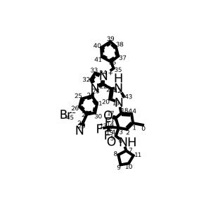 CC1=CC(C(=O)NC2CCCC2)(C(F)(F)F)C(=O)C(N2C=C(c3n(-c4ccc(C#N)cc4)cc[n+]3Cc3ccccc3)NC2)=C1.[Br-]